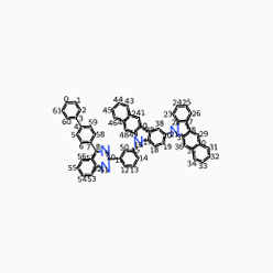 c1ccc(-c2ccc(-c3nc(-c4cccc(-n5c6ccc(-n7c8ccccc8c8cc9ccccc9cc87)cc6c6cc7ccccc7cc65)c4)nc4ccccc34)cc2)cc1